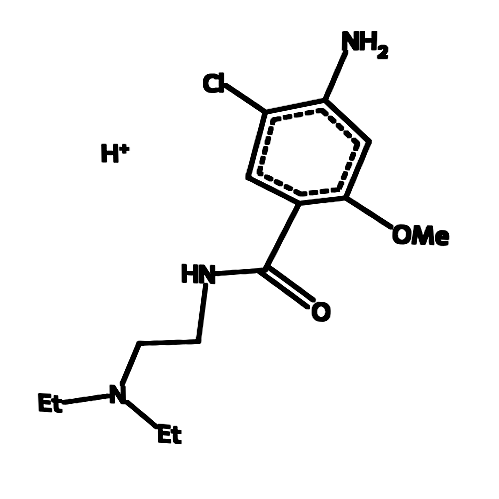 CCN(CC)CCNC(=O)c1cc(Cl)c(N)cc1OC.[H+]